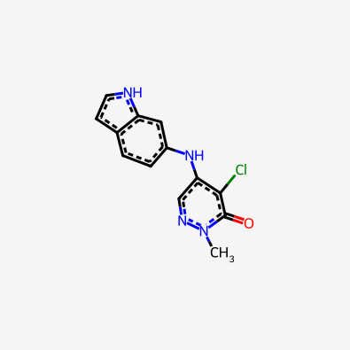 Cn1ncc(Nc2ccc3cc[nH]c3c2)c(Cl)c1=O